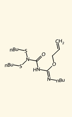 C=CCOC(=NCCCC)NC(=O)N(SCCCC)SCCCC